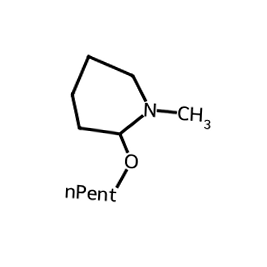 CCCCCOC1CCCCN1C